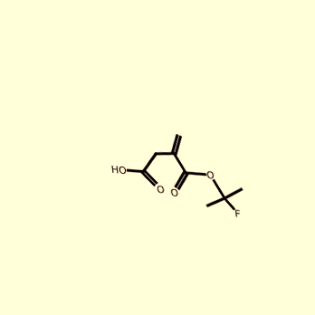 C=C(CC(=O)O)C(=O)OC(C)(C)F